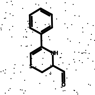 O=CC1CSC=C(c2ccccc2)N1